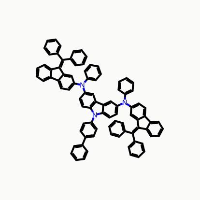 c1ccc(C(=C2c3ccccc3-c3ccc(N(c4ccccc4)c4ccc5c(c4)c4cc(N(c6ccccc6)c6ccc7c(c6)C(=C(c6ccccc6)c6ccccc6)c6ccccc6-7)ccc4n5-c4ccc(-c5ccccc5)cc4)cc32)c2ccccc2)cc1